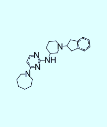 c1ccc2c(c1)CC(N1CCCC(Nc3nccc(N4CCCCCC4)n3)C1)C2